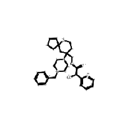 CC(C(=O)NCC1(N2CCN(Cc3ccccc3)CC2)CCOC2(CCCC2)C1)c1ccccn1